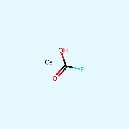 O=C(O)F.[Ce]